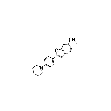 Cc1ccc2cc(-c3ccc(N4CCCCC4)cc3)oc2c1